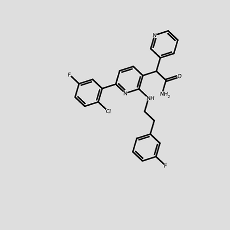 NC(=O)C(c1cccnc1)c1ccc(-c2cc(F)ccc2Cl)nc1NCCc1cccc(F)c1